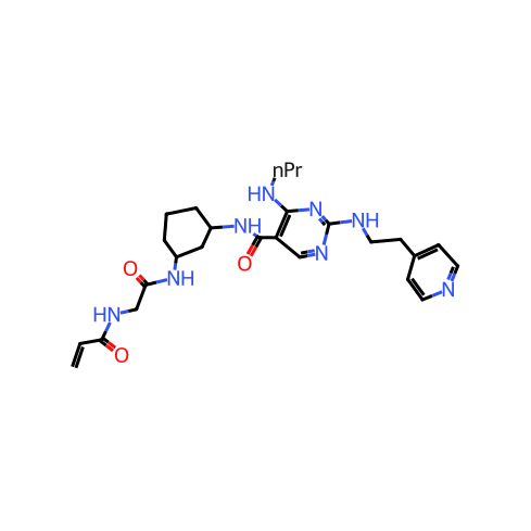 C=CC(=O)NCC(=O)NC1CCCC(NC(=O)c2cnc(NCCc3ccncc3)nc2NCCC)C1